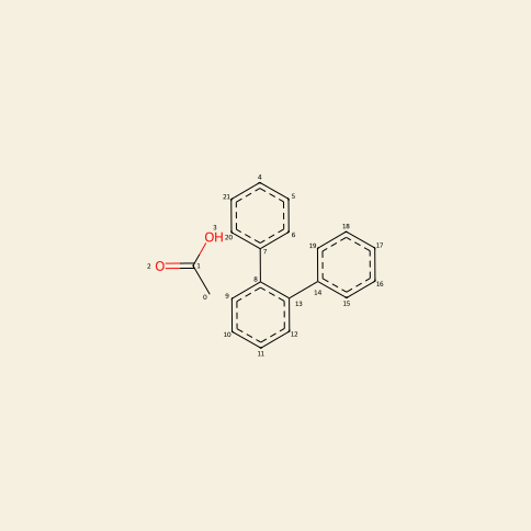 CC(=O)O.c1ccc(-c2ccccc2-c2ccccc2)cc1